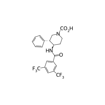 O=C(N[C@@H]1CCN(C(=O)O)C[C@H]1c1ccccc1)c1cc(C(F)(F)F)cc(C(F)(F)F)c1